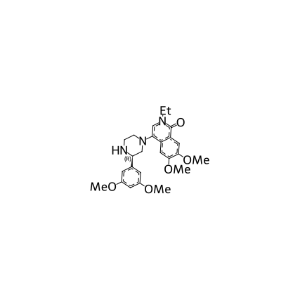 CCn1cc(N2CCN[C@H](c3cc(OC)cc(OC)c3)C2)c2cc(OC)c(OC)cc2c1=O